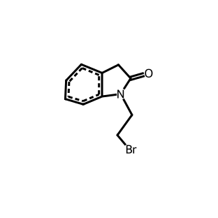 O=C1Cc2ccccc2N1CCBr